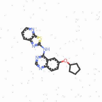 c1cnc2sc(Nc3ncnc4ccc(OC5CCCC5)cc34)nc2c1